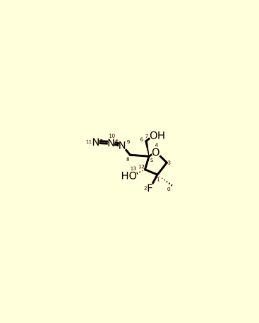 C[C@@]1(F)CO[C@@](CO)(CN=[N+]=[N-])[C@H]1O